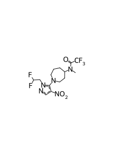 CN(C(=O)C(F)(F)F)C1CCCN(c2c([N+](=O)[O-])cnn2CC(F)F)CC1